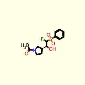 BC(=O)N1CC[C@H](C(O)C(F)S(=O)(=O)c2ccccc2)C1